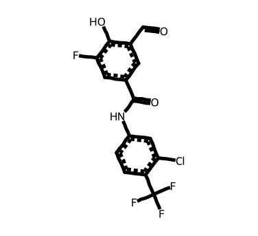 O=Cc1cc(C(=O)Nc2ccc(C(F)(F)F)c(Cl)c2)cc(F)c1O